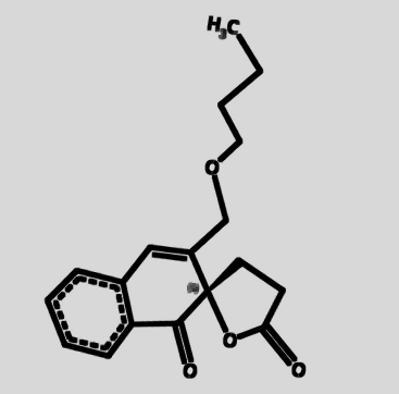 CCCCOCC1=Cc2ccccc2C(=O)[C@]12CCC(=O)O2